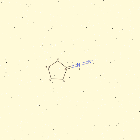 [N-]=[N+]=C1C[CH]CC1